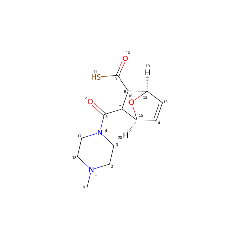 CN1CCN(C(=O)C2C(C(=O)S)[C@H]3C=C[C@@H]2O3)CC1